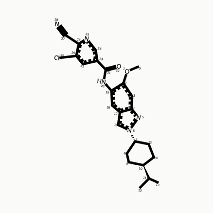 COc1cc2nn([C@H]3CC[C@H](C(C)C)CC3)cc2cc1NC(=O)c1cnc(C#N)c(Cl)c1